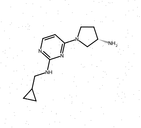 N[C@H]1CCN(c2ccnc(NCC3CC3)n2)C1